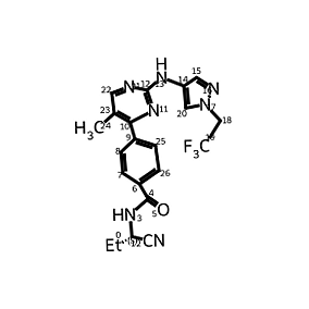 CC[C@@H](C#N)NC(=O)c1ccc(-c2nc(Nc3cnn(CC(F)(F)F)c3)ncc2C)cc1